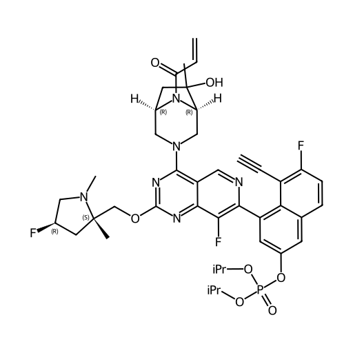 C#Cc1c(F)ccc2cc(OP(=O)(OC(C)C)OC(C)C)cc(-c3ncc4c(N5C[C@H]6CC(C)(O)[C@@H](C5)N6C(=O)C=C)nc(OC[C@]5(C)C[C@@H](F)CN5C)nc4c3F)c12